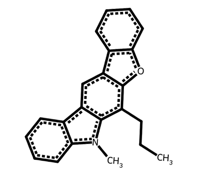 CCCc1c2oc3ccccc3c2cc2c3ccccc3n(C)c12